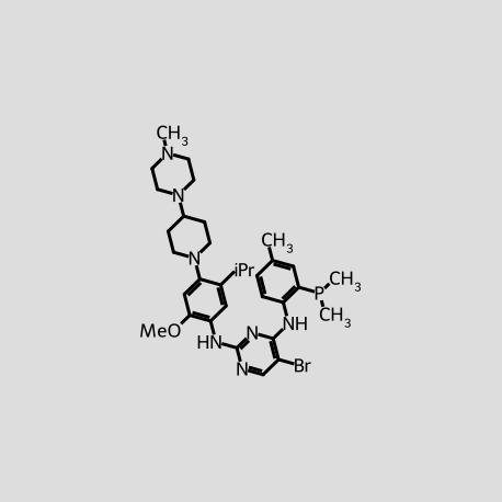 COc1cc(N2CCC(N3CCN(C)CC3)CC2)c(C(C)C)cc1Nc1ncc(Br)c(Nc2ccc(C)cc2P(C)C)n1